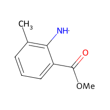 COC(=O)c1cccc(C)c1[NH]